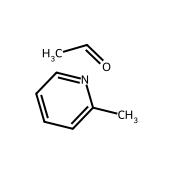 CC=O.Cc1ccccn1